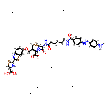 CN(C)c1ccc(/N=N/c2ccc(C(=O)NCCCCCC(=O)NC3C(=O)N4C(C(=O)O)=C(COc5ccc6nc(C7=N[C@@H](C(=O)O)CS7)sc6c5)CSC34)cc2)cc1